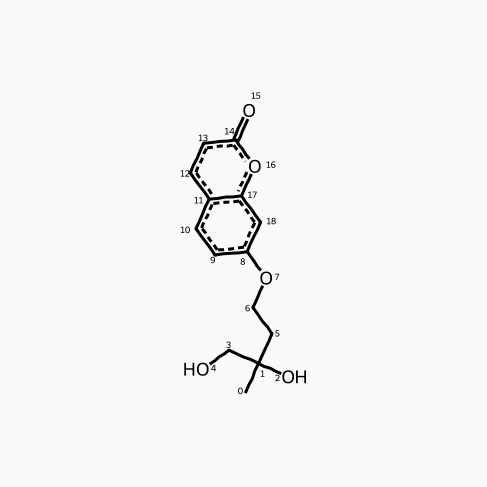 CC(O)(CO)CCOc1ccc2ccc(=O)oc2c1